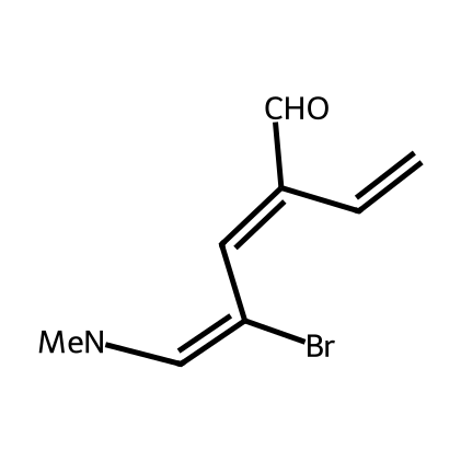 C=C/C(C=O)=C\C(Br)=C/NC